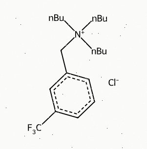 CCCC[N+](CCCC)(CCCC)Cc1cccc(C(F)(F)F)c1.[Cl-]